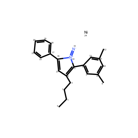 CCCCC1=C(c2cc(C)cc(C)c2)[N+](=[N-])C(c2ccccc2)=C1.[Ni]